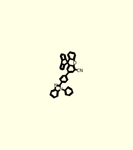 N#Cc1cc(-c2ccc(-c3nc4ccccc4n3-c3ccccc3)cc2)cc2c1Oc1ccccc1C21c2ccccc2-c2ccccc21